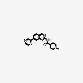 CN1CCC(C(=O)Nc2ncc3ccc(-c4cnccn4)cc3n2)CC1